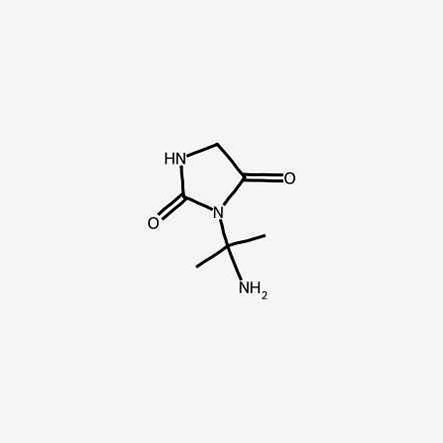 CC(C)(N)N1C(=O)CNC1=O